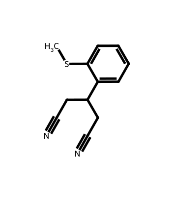 CSc1ccccc1C(CC#N)CC#N